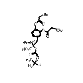 CCC(C)(C)OC(=O)O[C@](Cc1ccc(OC(=O)CC(C)(C)C)c(OC(=O)CC(C)(C)C)c1)(NC(C)C)C(=O)O